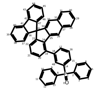 O=P(c1ccccc1)(c1ccccc1)c1cccc(-c2cccc3c2-c2cc4ccccc4cc2C32c3ccccc3-c3ccccc32)c1